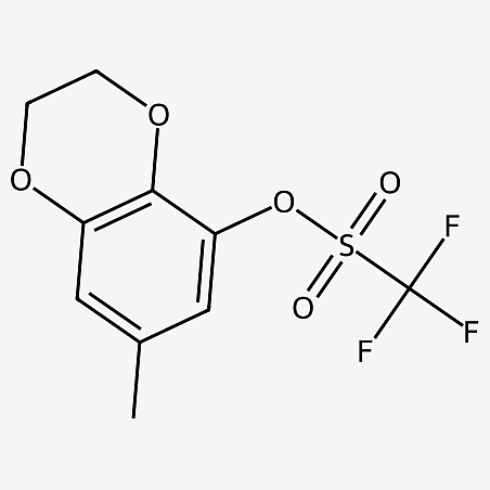 Cc1cc2c(c(OS(=O)(=O)C(F)(F)F)c1)OCCO2